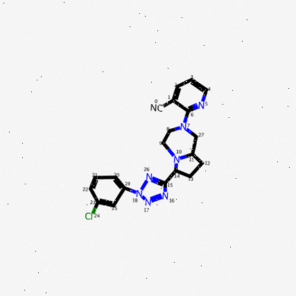 N#Cc1cccnc1N1CCN2C(CCC2c2nnn(-c3cccc(Cl)c3)n2)C1